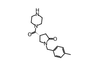 Cc1ccc(CN2C[C@H](C(=O)N3CCNCC3)CC2=O)cc1